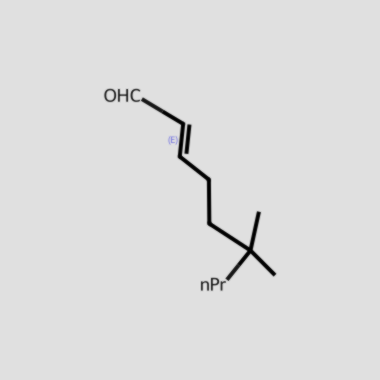 CCCC(C)(C)CC/C=C/C=O